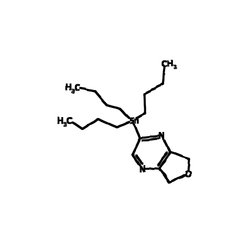 CCC[CH2][Sn]([CH2]CCC)([CH2]CCC)[c]1cnc2c(n1)COC2